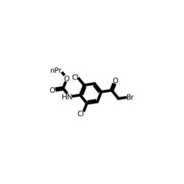 CCCOC(=O)Nc1c(Cl)cc(C(=O)CBr)cc1Cl